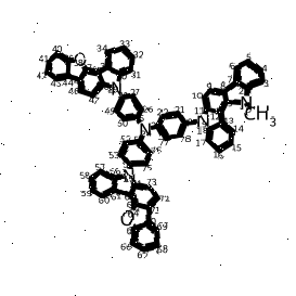 Cn1c2ccccc2c2ccc3c(c4ccccc4n3-c3ccc(N(c4ccc(-n5c6ccccc6c6c7oc8ccccc8c7ccc65)cc4)c4ccc(-n5c6ccccc6c6c7oc8ccccc8c7ccc65)cc4)cc3)c21